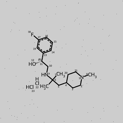 CN1CCC(CC(C)(C)NC[C@H](O)c2cccc(F)c2)CC1.Cl.Cl